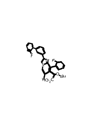 Cc1cn2cc(-c3cccc(-c4ccccc4F)c3)nc2c(-c2ccccc2F)c1C(OC(C)(C)C)C(=O)O